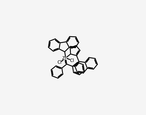 [Cl][Zr]([Cl])(=[C](c1ccccc1)c1ccccc1)([CH]1C=CC=C1c1cccc2ccccc12)[CH]1c2ccccc2-c2ccccc21